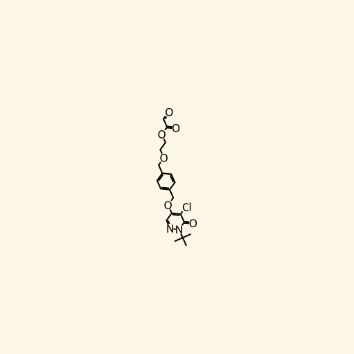 CC(C)(C)n1ncc(OCc2ccc(COCCOC(=O)C=O)cc2)c(Cl)c1=O